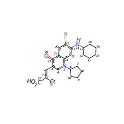 CC/C(=C\c1cn(C2CCCC2)c2cc(NC3CCCCC3)c(F)cc2c1=O)C(=O)O